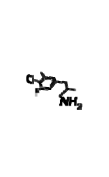 Cc1cc(CC(C)CN)cc(F)c1Cl